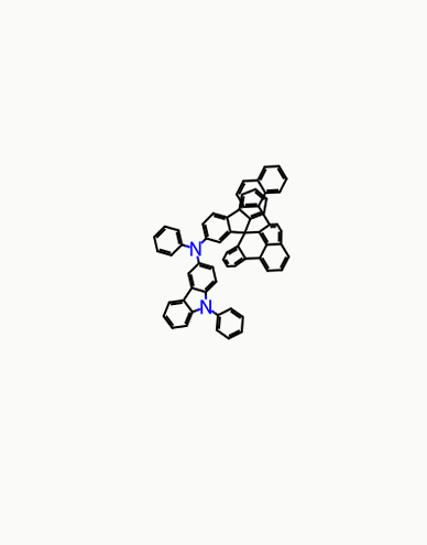 c1ccc(N(c2ccc3c(c2)C2(c4ccccc4-3)c3ccccc3-c3cccc4ccc(-c5cccc6ccccc56)c2c34)c2ccc3c(c2)c2ccccc2n3-c2ccccc2)cc1